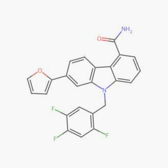 NC(=O)c1cccc2c1c1[c]cc(-c3ccco3)cc1n2Cc1cc(F)c(F)cc1F